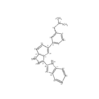 CN(C)Cc1cncc(-c2ccc3[nH]nc(-c4cc5cnccc5[nH]4)c3c2)c1